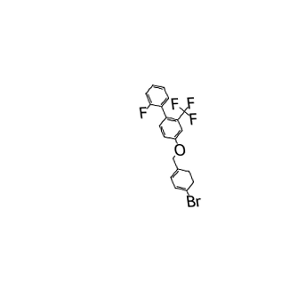 Fc1ccccc1-c1ccc(OCC2=CC=C(Br)CC2)cc1C(F)(F)F